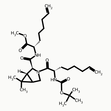 C=CCCCC[C@H](NC(=O)[C@@H]1[C@@H]2C(CN1C(=O)[C@H](CCCCC=C)NC(=O)OC(C)(C)C)C2(C)C)C(=O)OC